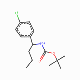 [CH2]CCC(NC(=O)OC(C)(C)C)c1ccc(Cl)cc1